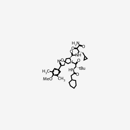 COc1c(C)cc(C2=NO[C@]3(C2)C[C@@H](C(=O)N[C@@H](CC2CC2)C(=O)C(N)=O)N(C(=O)[C@@H](NC(=O)CC2CCCCC2)C(C)(C)C)C3)cc1C